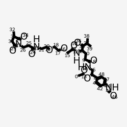 CC(=O)OC(CNC(=O)CCC(NC(=O)COCCOCCNC(=O)CCN1C(=O)CC(C)C1=O)C(=O)C(C)C)c1ccc(NC=O)cc1